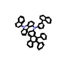 c1ccc(-c2c(-c3ccccc3)c3cc(N(c4cccc(-c5cccc6ccccc56)c4)c4cccc5c4c4ccccc4n5-c4cccc5ccccc45)ccc3c3ccccc23)cc1